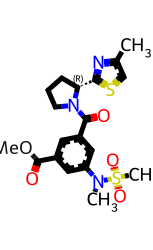 COC(=O)c1cc(C(=O)N2CCC[C@@H]2c2nc(C)cs2)cc(N(C)S(C)(=O)=O)c1